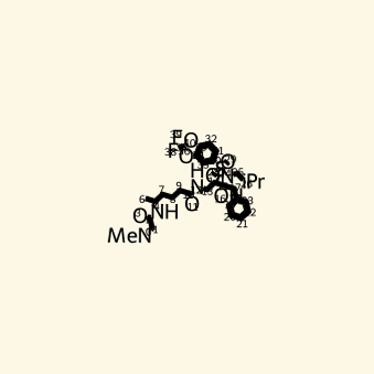 CNCC(=O)NC(C)CCCC(=O)NCCC(O)(Cc1ccccc1)N(CC(C)C)S(=O)(=O)c1ccc2c(c1)OC(F)(F)O2